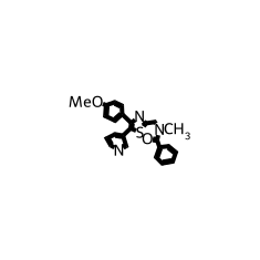 COc1ccc(-c2nc(CN(C)C(=O)c3ccccc3)sc2-c2cccnc2)cc1